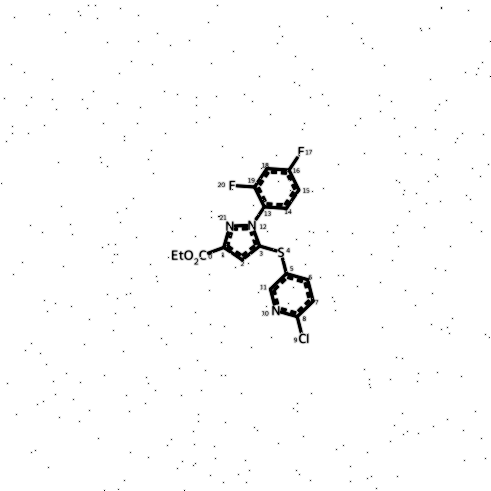 CCOC(=O)c1cc(Sc2ccc(Cl)nc2)n(-c2ccc(F)cc2F)n1